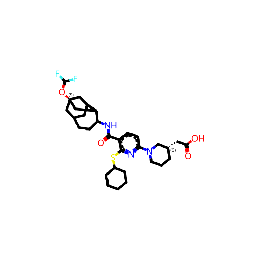 O=C(O)C[C@@H]1CCCN(c2ccc(C(=O)NC3CCC4CC5C[C@@](OC(F)F)(C4)CC53)c(SC3CCCCC3)n2)C1